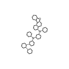 c1ccc(-c2ccccc2-c2cccc(N(c3ccccc3)c3cccc(N(c4ccccc4)c4cccc5c4ccc4oc6ccccc6c45)c3)c2)cc1